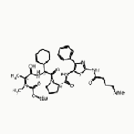 CNCCCC(=O)Nc1nc(-c2ccccc2)c(NC(=O)[C@@H]2CCCN2C(=O)[C@@H](NC(O)[C@H](C)N(C)C(=O)OC(C)(C)C)C2CCCCC2)s1